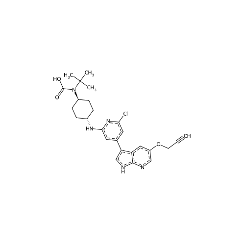 C#CCOc1cnc2[nH]cc(-c3cc(Cl)nc(N[C@H]4CC[C@H](N(C(=O)O)C(C)(C)C)CC4)c3)c2c1